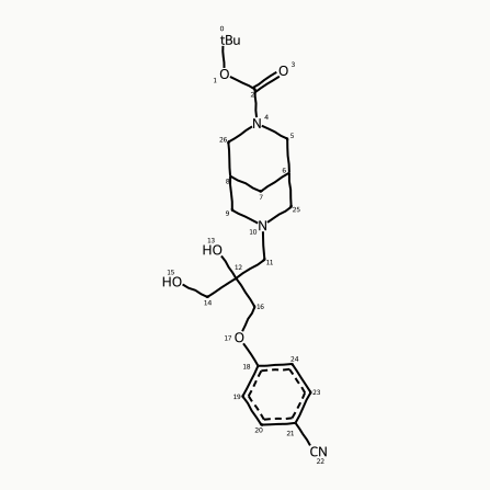 CC(C)(C)OC(=O)N1CC2CC(CN(CC(O)(CO)COc3ccc(C#N)cc3)C2)C1